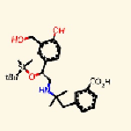 CC(C)(Cc1cccc(C(=O)O)c1)NC[C@@H](O[Si](C)(C)C(C)(C)C)c1ccc(O)c(CO)c1